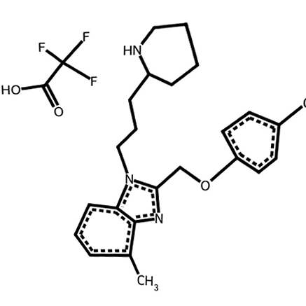 Cc1cccc2c1nc(COc1ccc(Cl)cc1)n2CCCC1CCCCN1.O=C(O)C(F)(F)F